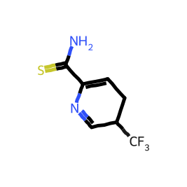 NC(=S)C1=CCC(C(F)(F)F)C=N1